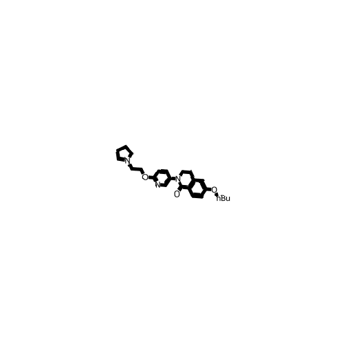 CCCCOc1ccc2c(c1)CCN(c1ccc(OCCN3CCCC3)nc1)C2=O